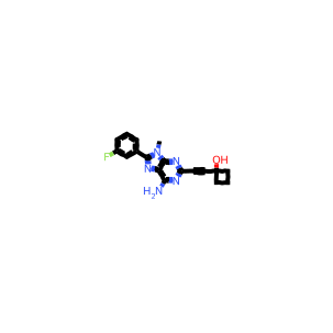 Cn1c(-c2cccc(F)c2)nc2c(N)nc(C#CC3(O)CCC3)nc21